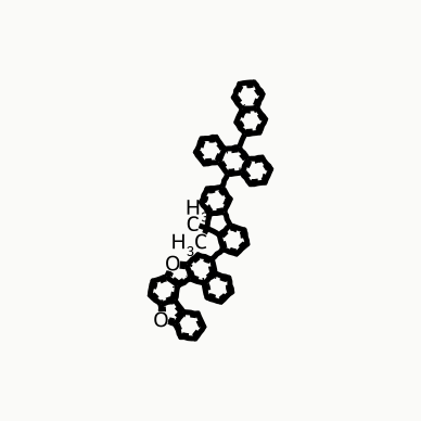 CC1(C)c2ccc(-c3c4ccccc4c(-c4ccc5ccccc5c4)c4ccccc34)cc2-c2cccc(-c3cc4oc5ccc6oc7ccccc7c6c5c4c4ccccc34)c21